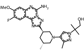 COc1cc2nc(N)n3nc([C@@H]4C[C@@H](C)CN(c5cn(C(C)(C)CO)nc5C)C4)nc3c2cc1F